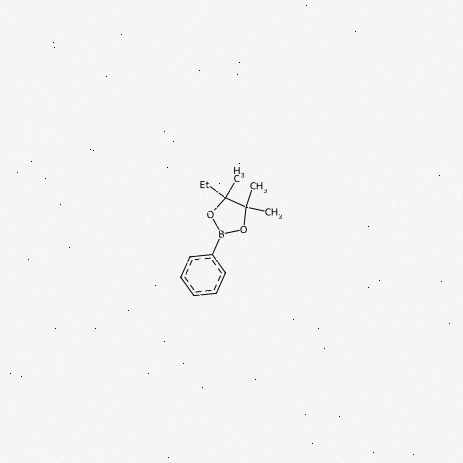 CCC1(C)OB(c2ccccc2)OC1(C)C